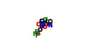 CC1C(=O)N(c2ccc(SC(F)(F)F)cc2)C(=O)N1Cc1ccnc2cccc(Cl)c12